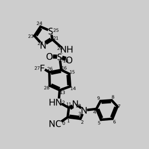 N#Cc1cn(-c2ccccc2)nc1Nc1ccc(S(=O)(=O)Nc2nccs2)c(F)c1